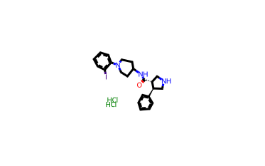 Cl.Cl.O=C(NC1CCN(c2ccccc2I)CC1)[C@@H]1CNC[C@H]1c1ccccc1